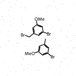 COc1cc(Br)cc(CBr)c1.COc1cc(C)cc(Br)c1